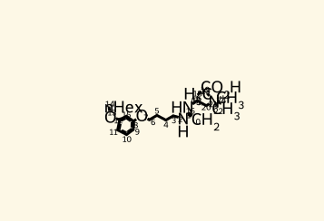 C=C(NCCCCOc1cccc(OCCCCCC)c1)N[C@H](CC(=O)O)C[N+](C)(C)C